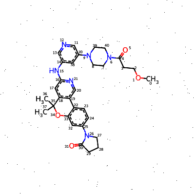 COCCC(=O)N1CCN(c2cncc(Nc3cc4c(cn3)-c3ccc(N5CCCC5=O)cc3OC4(C)C)c2)CC1